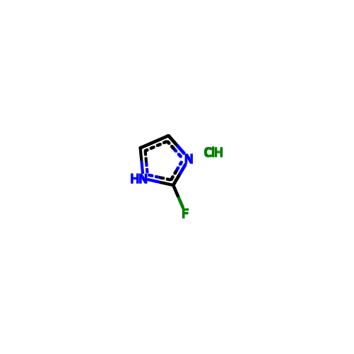 Cl.Fc1ncc[nH]1